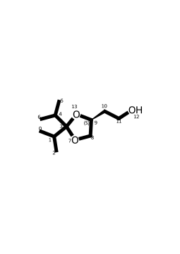 CC(C)C1(C(C)C)OC[C@H](CCO)O1